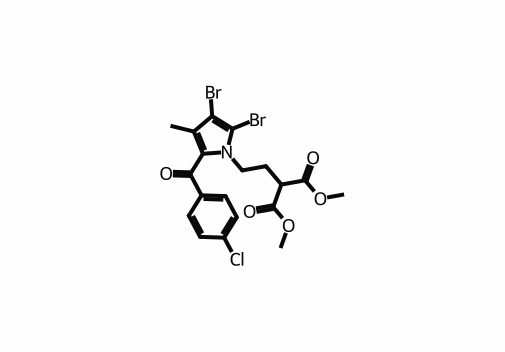 COC(=O)C(CCn1c(Br)c(Br)c(C)c1C(=O)c1ccc(Cl)cc1)C(=O)OC